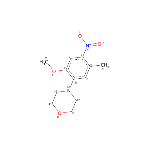 COc1cc([N+](=O)[O-])c(C)cc1N1CCOCC1